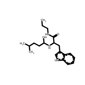 CCCNC(=O)C(Cc1c[nH]c2ccccc12)NC(O)CCC(C)C